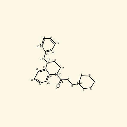 O=C(CCN1CCCCC1)N1CCN(Cc2ccccn2)c2ccccc21